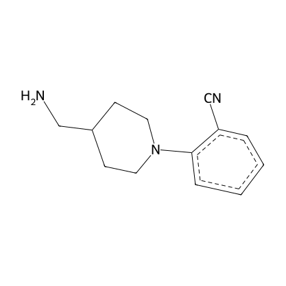 N#Cc1ccccc1N1CCC(CN)CC1